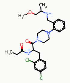 CCC(=O)NC(Cc1ccc(Cl)cc1Cl)C(=O)N1CCN(c2ccccc2CNC(C)COC)CC1